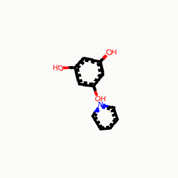 Oc1cc(O)cc(O)c1.c1ccncc1